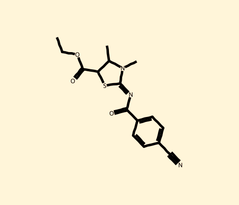 CCOC(=O)C1SC(=NC(=O)c2ccc(C#N)cc2)N(C)C1C